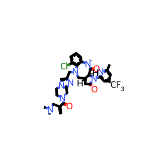 C=C(CN(C)C)C(=O)N1CCn2cc(CN3C[C@H]4CC(=O)N(c5cc(C(F)(F)F)cc(C)n5)[C@@H]4C(=O)N(C)c4cccc(Cl)c43)nc2C1